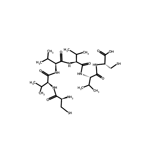 CC(C)[C@H](NC(=O)[C@@H](NC(=O)[C@@H](NC(=O)[C@@H](NC(=O)[C@@H](N)CS)C(C)C)C(C)C)C(C)C)C(=O)N[C@@H](CS)C(=O)O